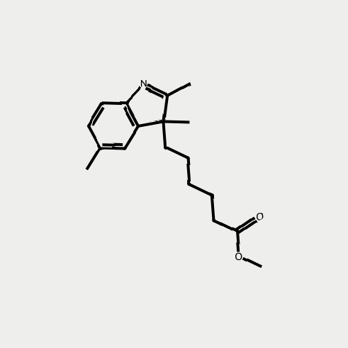 COC(=O)CCCCCC1(C)C(C)=Nc2ccc(C)cc21